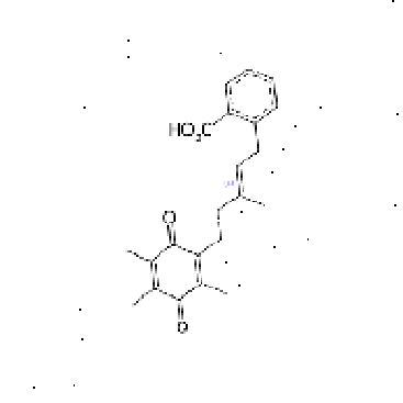 CC1=C(C)C(=O)C(CC/C(C)=C/Cc2ccccc2C(=O)O)=C(C)C1=O